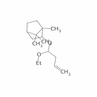 C=CCC(OCC)OC1CC2CCC1(C)C2(C)C